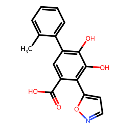 Cc1ccccc1-c1cc(C(=O)O)c(-c2ccno2)c(O)c1O